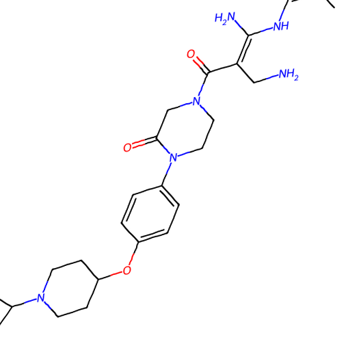 C/C=C\N/C(N)=C(\CN)C(=O)N1CCN(c2ccc(OC3CCN(C4CCC4)CC3)cc2)C(=O)C1